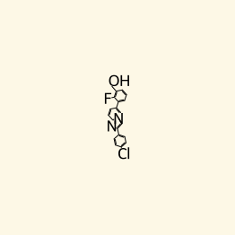 OCc1cccc(-c2ccc3nc(-c4ccc(Cl)cc4)cn3c2)c1F